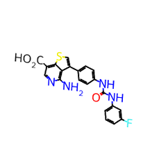 Nc1ncc(C(=O)O)c2scc(-c3ccc(NC(=O)Nc4cccc(F)c4)cc3)c12